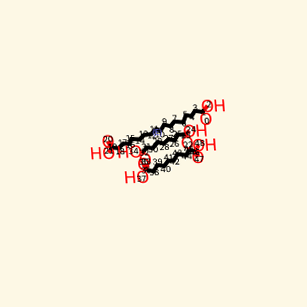 O=C(O)CCCCCCC/C=C/CCCCCCCC(=O)O.O=C(O)CCCCCCCC(=O)O.O=C(O)CCCCCCCCC(=O)O